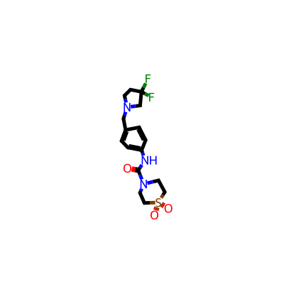 O=C(Nc1ccc(CN2CCC(F)(F)C2)cc1)N1CCS(=O)(=O)CC1